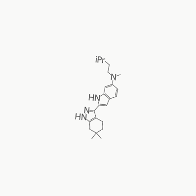 CC(C)CCN(C)c1ccc2cc(-c3n[nH]c4c3CCC(C)(C)C4)[nH]c2c1